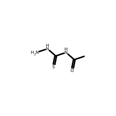 CC(=O)NC(=S)NN